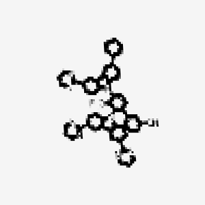 N#Cc1cccc(-c2ccc(-n3c4ccc(-c5ccccc5)cc4c4cc(-c5ncccn5)ccc43)c(C(F)(F)F)c2-n2c3ccc(-c4ncccn4)cc3c3cc(-c4ncccn4)ccc32)c1